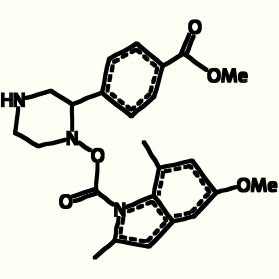 COC(=O)c1ccc(C2CNCCN2OC(=O)n2c(C)cc3cc(OC)cc(C)c32)cc1